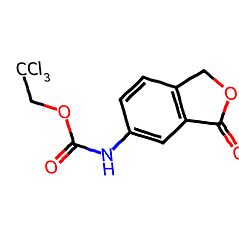 O=C(Nc1ccc2c(c1)C(=O)OC2)OCC(Cl)(Cl)Cl